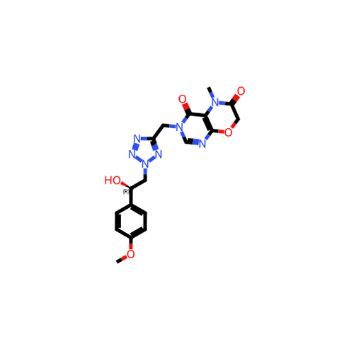 COc1ccc([C@@H](O)Cn2nnc(Cn3cnc4c(c3=O)N(C)C(=O)CO4)n2)cc1